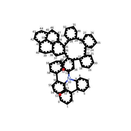 c1ccc(-c2ccccc2N(c2ccc3c(c2)c2ccccc2c2ccccc2c2ccccc2c2c3cc3ccc4cccc5ccc2c3c45)c2ccccc2-c2ccccc2)cc1